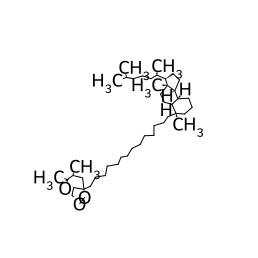 CC(=O)C(C)CC1(CCCCCCCCCCCCCC[C@@]2(C)CCC[C@@H]3[C@@H]2CC[C@]2(C)[C@@H]([C@H](C)CCCC(C)C)CC[C@@H]32)CCOO1